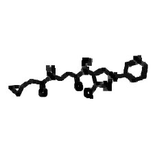 CCN(C(=O)CCNC(=O)CC1CC1)c1cn(-c2cccnc2)nc1Cl